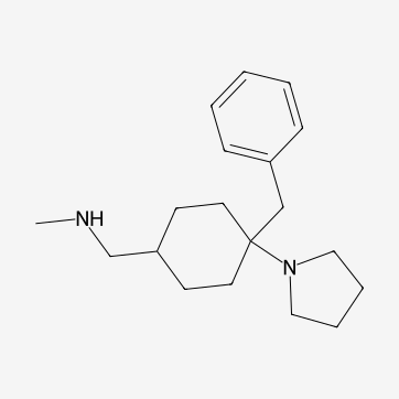 CNCC1CCC(Cc2ccccc2)(N2CCCC2)CC1